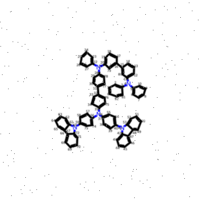 c1ccc(N(c2ccccc2)c2cccc(-c3cccc(N(c4ccccc4)c4ccc(-c5ccc(N(c6ccc(-n7c8ccccc8c8ccccc87)cc6)c6ccc(-n7c8ccccc8c8ccccc87)cc6)cc5)cc4)c3)c2)cc1